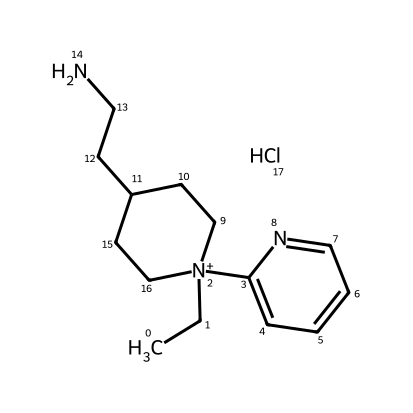 CC[N+]1(c2ccccn2)CCC(CCN)CC1.Cl